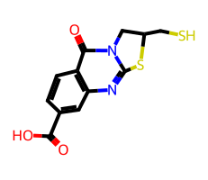 O=C(O)c1ccc2c(=O)n3c(nc2c1)SC(CS)C3